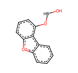 OBOc1cccc2oc3ccccc3c12